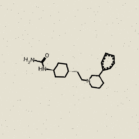 NC(=O)N[C@H]1CC[C@H](CCN2CCCC(c3ccccc3)C2)CC1